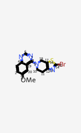 COc1ccc2ncnc(N3CCc4nc(Br)sc4C3)c2c1